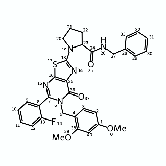 COc1ccc(Cn2c(-c3ccccc3F)nc3sc(N4CCCC4C(=O)NCc4ccccc4)nc3c2=O)c(OC)c1